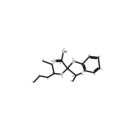 CCCC(CC)OC(Oc1ccccc1)(C(=O)O)C(C)C